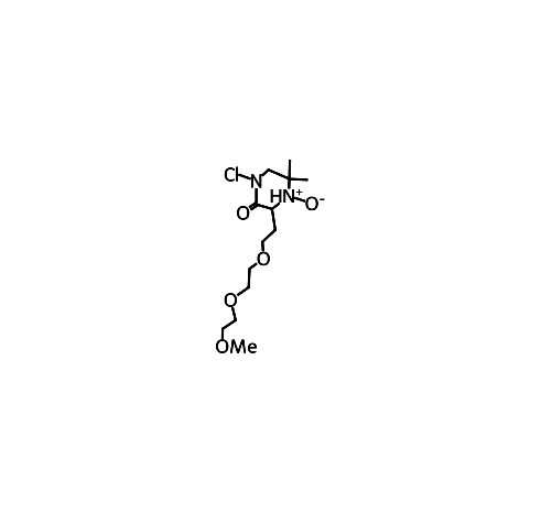 COCCOCCOCCC1C(=O)N(Cl)CC(C)(C)[NH+]1[O-]